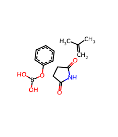 C=C(C)C.O=C1CCC(=O)N1.OB(O)Oc1ccccc1